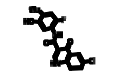 CC(C)(C)c1cc(F)c(NC(=O)c2c[nH]c3ccc(Cl)cc3c2=O)cc1O